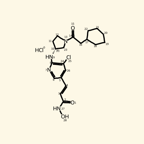 Cl.O=C(C=Cc1cnc(N[C@@H]2CCN(C(=O)CC3CCCCC3)C2)c(Cl)c1)NO